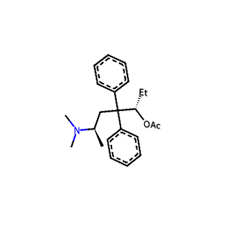 CC[C@H](OC(C)=O)C(C[C@@H](C)N(C)C)(c1ccccc1)c1ccccc1